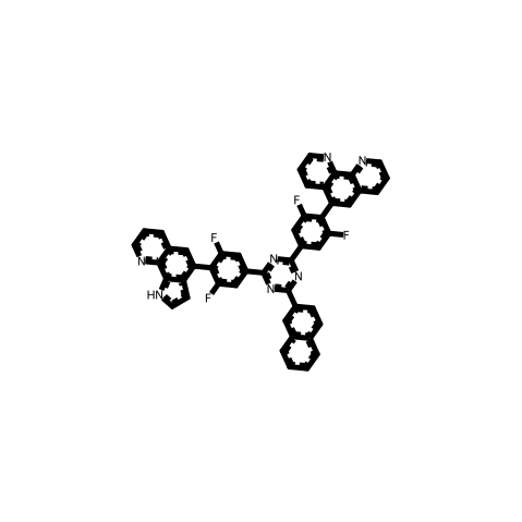 Fc1cc(-c2nc(-c3cc(F)c(-c4cc5cccnc5c5[nH]ccc45)c(F)c3)nc(-c3ccc4ccccc4c3)n2)cc(F)c1-c1cc2cccnc2c2ncccc12